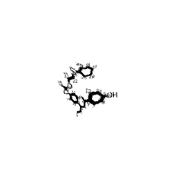 CCC(CC(C)c1ccc(O)cc1)c1ccc(OC(C)OCCSC2CCCCC2)cc1